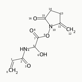 C=CC(=O)NC(O)C(=O)ON1C(=C)CCC1=O